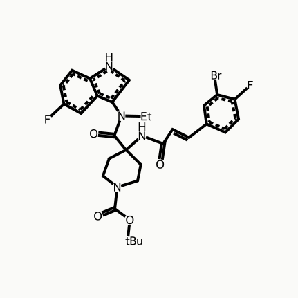 CCN(C(=O)C1(NC(=O)C=Cc2ccc(F)c(Br)c2)CCN(C(=O)OC(C)(C)C)CC1)c1c[nH]c2ccc(F)cc12